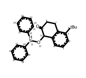 CC(C)(C)c1cccc2c1CCC(=O)C2O[SiH](c1ccccc1)c1ccccc1